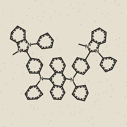 C[n+]1c(-c2ccc(N(c3ccccc3)c3c4ccccc4c(N(c4ccccc4)c4ccc(-c5n(-c6ccccc6)c6ccccc6[n+]5C)cc4)c4ccccc34)cc2)n(-c2ccccc2)c2ccccc21